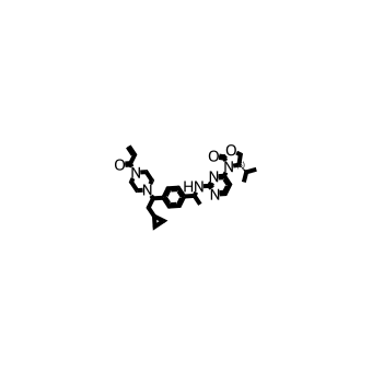 C=CC(=O)N1CCN(C(CC2CC2)c2ccc(C(C)Nc3nccc(N4C(=O)OC[C@@H]4C(C)C)n3)cc2)CC1